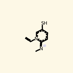 C=Cn1cc(S)cc/c1=N/C